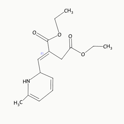 CCOC(=O)C/C(=C\C1C=CC=C(C)N1)C(=O)OCC